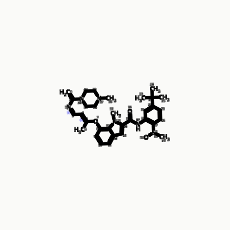 C=C(/N=C\C=C(/C)Oc1cccc2cc(C(=O)Nc3cc(C(C)(C)C)ccc3[S+](C)[O-])n(C)c12)N1CCN(C)CC1